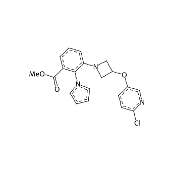 COC(=O)c1cccc(N2CC(Oc3ccc(Cl)nc3)C2)c1-n1cccc1